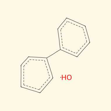 [OH].c1ccc(-c2ccccc2)cc1